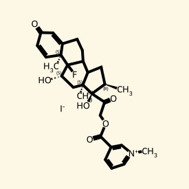 C[C@@H]1CC2C3CCC4=CC(=O)C=C[C@]4(C)C3(F)[C@@H](O)C[C@]2(C)[C@@]1(O)C(=O)COC(=O)c1ccc[n+](C)c1.[I-]